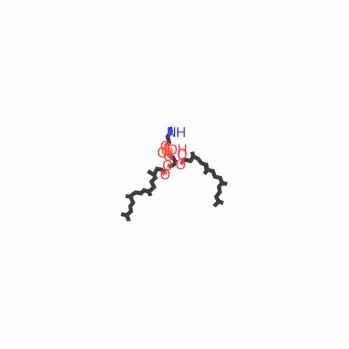 CNCCOP(=O)(O)OCC(COC(=O)CC(C)CCCC(C)CCCC(C)CCCC(C)C)OC(=O)CC(C)CC/C=C(\C)CCCC(C)CCCC(C)C